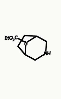 CCOC(=O)N1C2CCC1CNC2